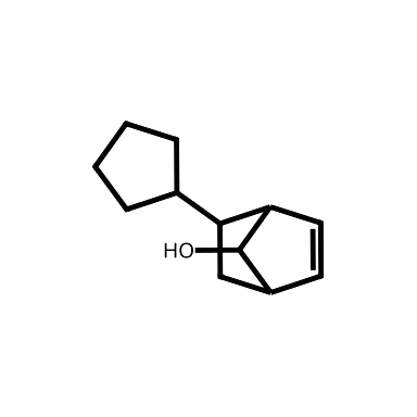 OC1C2C=CC1C(C1CCCC1)C2